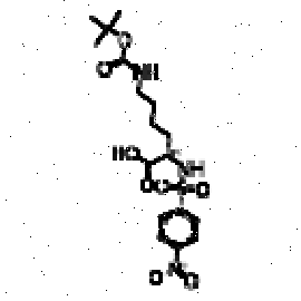 CC(C)(C)OC(=O)NCCCC[C@H](NS(=O)(=O)c1ccc([N+](=O)[O-])cc1)C(=O)O